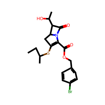 CCC(C)SC1=C(C(=O)OCc2ccc(Br)cc2)N2C(=O)C(C(C)O)C2C1